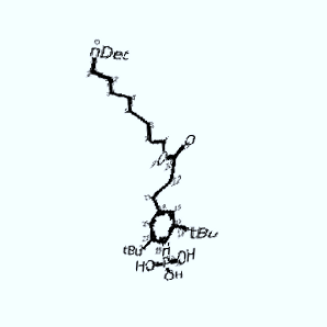 CCCCCCCCCCCCCCCCCCOC(=O)CCc1cc(C(C)(C)C)c([PH](O)(O)O)c(C(C)(C)C)c1